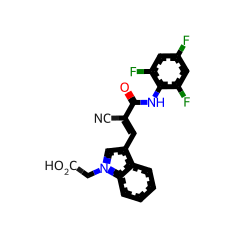 N#C/C(=C\c1cn(CC(=O)O)c2ccccc12)C(=O)Nc1c(F)cc(F)cc1F